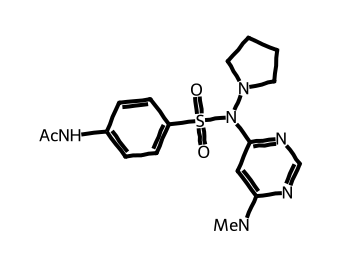 CNc1cc(N(N2CCCC2)S(=O)(=O)c2ccc(NC(C)=O)cc2)ncn1